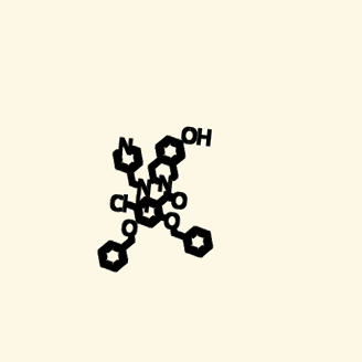 O=C(c1cc(Cl)c(OCc2ccccc2)cc1OCc1ccccc1)N1Cc2cc(O)ccc2C[C@@H]1NCc1ccncc1